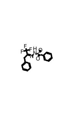 O=S(=O)(NN=C(Cc1ccccc1)C(F)(F)F)c1ccccc1